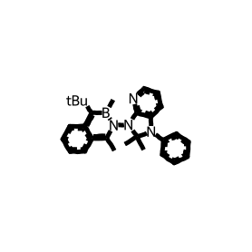 CB1C(C(C)(C)C)=c2ccccc2=C(C)N1N1c2ncccc2N(c2ccccc2)C1(C)C